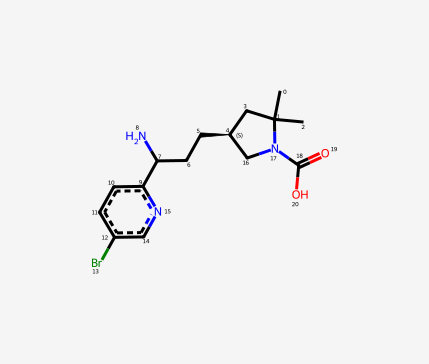 CC1(C)C[C@H](CCC(N)c2ccc(Br)cn2)CN1C(=O)O